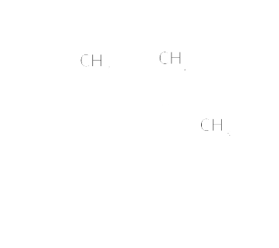 C=C(C)c1ccccc1C